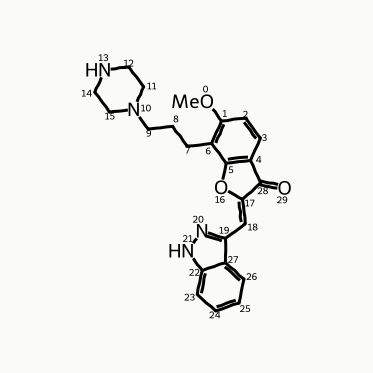 COc1ccc2c(c1CCCN1CCNCC1)OC(=Cc1n[nH]c3ccccc13)C2=O